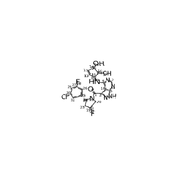 O=C(c1n[nH]c2ncnc(N[C@@H]3C=C[C@@H](O)[C@H]3O)c12)N1C[C@@H](F)C[C@@H]1c1cc(F)cc(Cl)c1